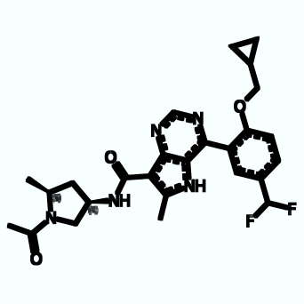 CC(=O)N1C[C@H](NC(=O)c2c(C)[nH]c3c(-c4cc(C(F)F)ccc4OCC4CC4)ncnc23)C[C@@H]1C